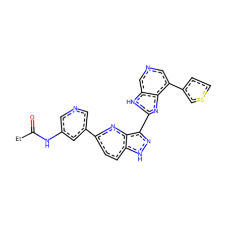 CCC(=O)Nc1cncc(-c2ccc3[nH]nc(-c4nc5c(-c6ccsc6)cncc5[nH]4)c3n2)c1